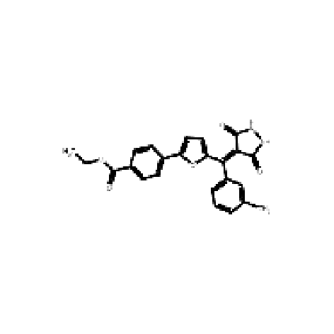 CCOC(=O)c1ccc(-c2ccc(C(=C3C(=O)NNC3=O)c3cccc(C)c3)o2)cc1